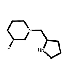 F[C@H]1CCCN(CC2CCCN2)C1